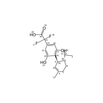 C=C(C)[C@@H]1CCC(C)=C[C@H]1c1c(O)cc(C(F)(F)C(=O)O)cc1O